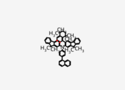 CC1(C)CCC(C)(C)c2c(-c3cc4c(cc3N(c3ccc(-c5cccc6ccccc56)cc3)c3ccc5c(c3)C(C)(C)c3ccccc3-5)C(C)(C)c3ccccc3-4)cccc21